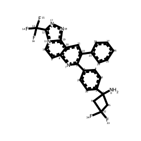 NC1(c2ccc(-c3nc4ccn5c(C(F)(F)F)nnc5c4cc3-c3ccccc3)cc2)CC(F)(F)C1